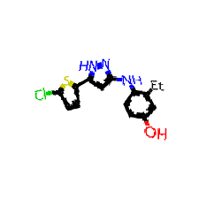 CCc1cc(O)ccc1Nc1cc(-c2ccc(Cl)s2)[nH]n1